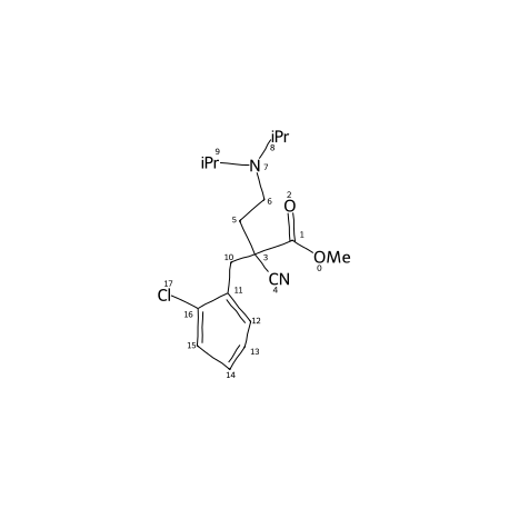 COC(=O)C(C#N)(CCN(C(C)C)C(C)C)Cc1ccccc1Cl